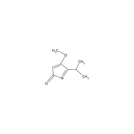 COC1=CC(=O)N=C1C(C)C